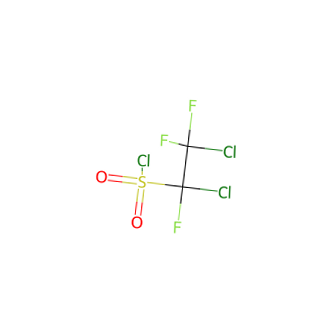 O=S(=O)(Cl)C(F)(Cl)C(F)(F)Cl